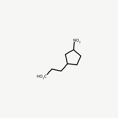 O=C(O)CCC1CCC([N+](=O)[O-])C1